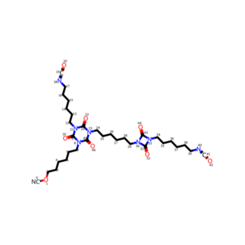 N#COCCCCCCn1c(=O)n(CCCCCCN=C=O)c(=O)n(CCCCCCN2C(=O)N(CCCCCCN=C=O)C2=O)c1=O